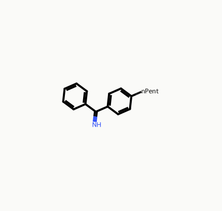 CCCCCc1ccc(C(=N)c2ccccc2)cc1